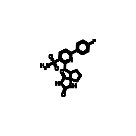 NS(=O)(=O)c1ccc(-c2ccc(F)cc2)nc1CC1CCCC12NC(=O)NC2=O